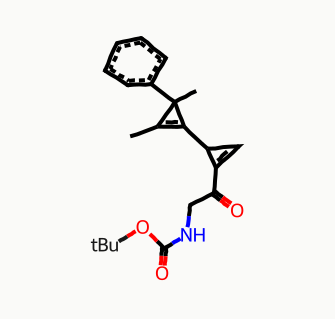 CC1=C(C2C=C2C(=O)CNC(=O)OC(C)(C)C)C1(C)c1ccccc1